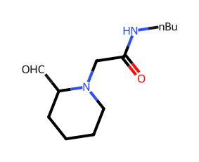 CCCCNC(=O)CN1CCCCC1C=O